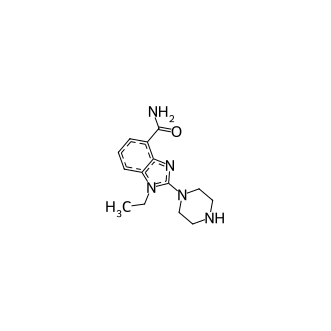 CCn1c(N2CCNCC2)nc2c(C(N)=O)cccc21